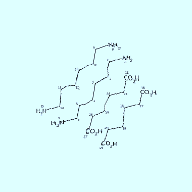 NCCCCCCN.NCCCCCCN.O=C(O)CCCCC(=O)O.O=C(O)CCCCC(=O)O